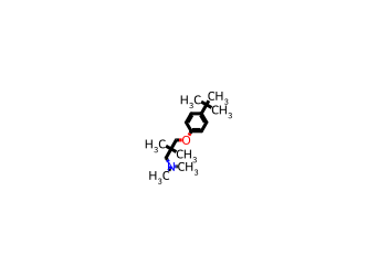 CN(C)CC(C)(C)COc1ccc(C(C)(C)C)cc1